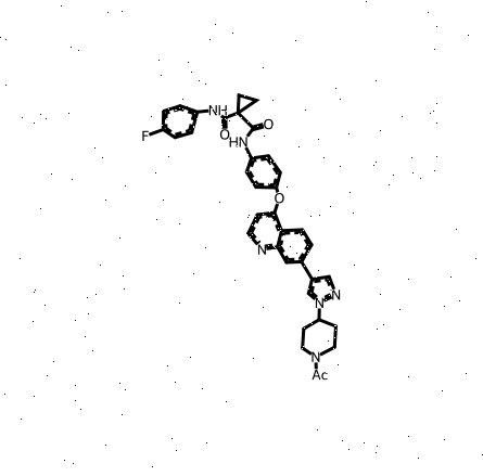 CC(=O)N1CCC(n2cc(-c3ccc4c(Oc5ccc(NC(=O)C6(C(=O)Nc7ccc(F)cc7)CC6)cc5)ccnc4c3)cn2)CC1